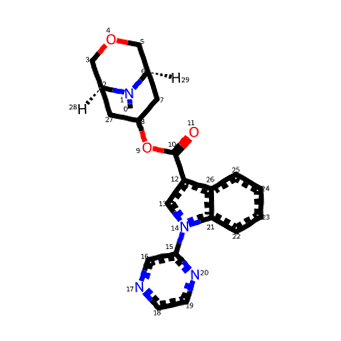 CN1[C@@H]2COC[C@H]1CC(OC(=O)c1cn(-c3cnccn3)c3ccccc13)C2